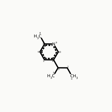 CCC(C)c1ccc(C)nc1